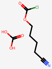 N#CCCCCOC(=O)Cl.O=C(O)O